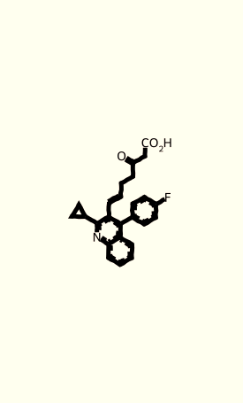 O=C(O)CC(=O)CCC=Cc1c(C2CC2)nc2ccccc2c1-c1ccc(F)cc1